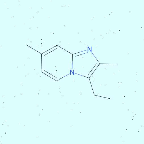 CCc1c(C)nc2cc(C)ccn12